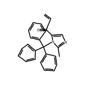 C=CC(=O)c1cnc(C)n1C(c1ccccc1)(c1ccccc1)c1ccccc1